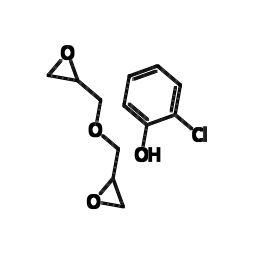 C(OCC1CO1)C1CO1.Oc1ccccc1Cl